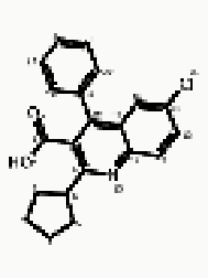 O=C(O)c1c(C2CCCC2)nc2ccc(Cl)cc2c1-c1ccccc1